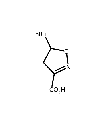 CCCCC1CC(C(=O)O)=NO1